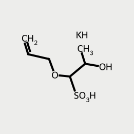 C=CCOC(C(C)O)S(=O)(=O)O.[KH]